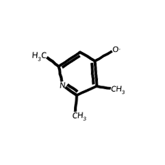 Cc1cc([O])c(C)c(C)n1